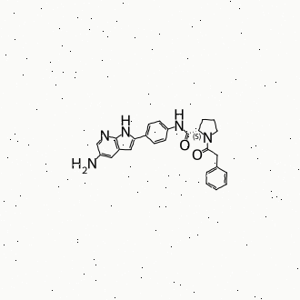 Nc1cnc2[nH]c(-c3ccc(NC(=O)[C@@H]4CCCN4C(=O)Cc4ccccc4)cc3)cc2c1